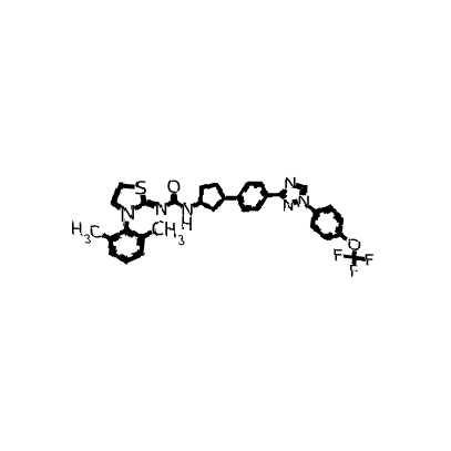 Cc1cccc(C)c1N1CCS/C1=N\C(=O)NC1CCC(c2ccc(-c3ncn(-c4ccc(OC(F)(F)F)cc4)n3)cc2)C1